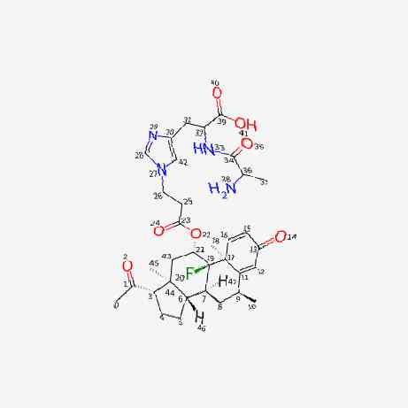 CC(=O)[C@H]1CC[C@H]2[C@@H]3C[C@H](C)C4=CC(=O)C=C[C@]4(C)[C@@]3(F)[C@@H](OC(=O)CCn3cnc(CC(NC(=O)C(C)N)C(=O)O)c3)C[C@]12C